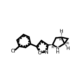 Clc1cccc(-c2cc([C@H]3C[C@H]4C[C@H]4N3)no2)c1